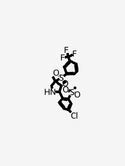 CC1(S(=O)(=O)c2cccc(C(F)(F)F)c2)CNC(c2ccc(Cl)cc2S(C)(=O)=O)C1